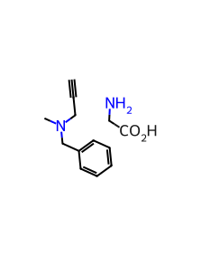 C#CCN(C)Cc1ccccc1.NCC(=O)O